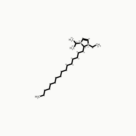 CCCCCCCCCCCCCCCCC1N(CC)C=CN1C(C)C